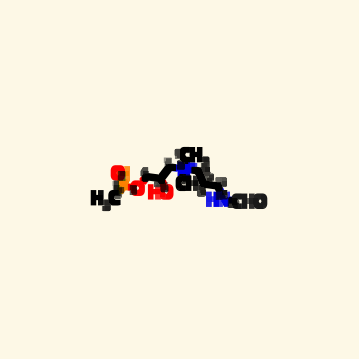 C[PH](=O)OCC(O)C[N+](C)(C)CCCNC=O